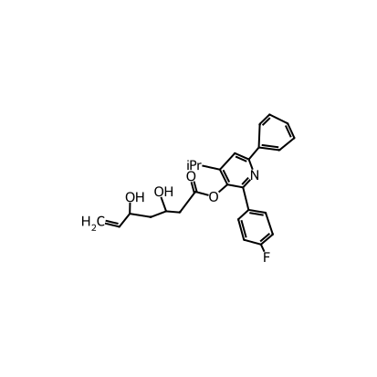 C=CC(O)CC(O)CC(=O)Oc1c(C(C)C)cc(-c2ccccc2)nc1-c1ccc(F)cc1